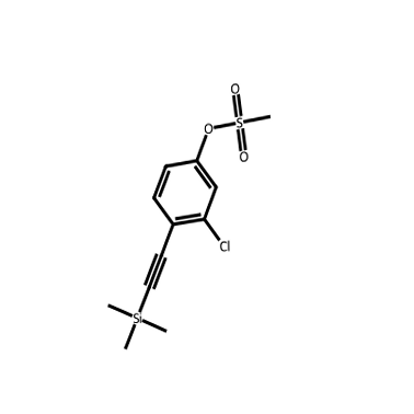 C[Si](C)(C)C#Cc1ccc(OS(C)(=O)=O)cc1Cl